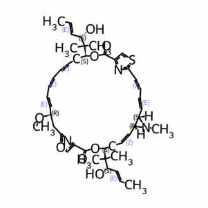 C/C=C/[C@H](O)C(C)(C)[C@@H]1C/C=C\[C@@H]2[C@H](/C=C/C=C\c3nc(cs3)C(=O)O[C@H](C(C)(C)[C@@H](O)/C=C/C)C\C=C/C=C\C=C\[C@H](OC)Cc3nc(co3)C(=O)O1)N2C